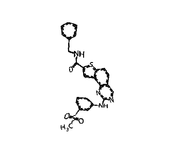 CS(=O)(=O)c1cccc(Nc2ncc3ccc4sc(C(=O)NCc5ccccc5)cc4c3n2)c1